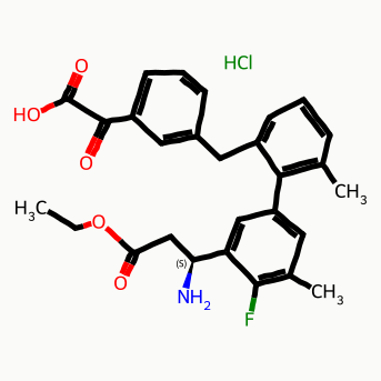 CCOC(=O)C[C@H](N)c1cc(-c2c(C)cccc2Cc2cccc(C(=O)C(=O)O)c2)cc(C)c1F.Cl